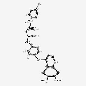 COc1cc2nccc(Oc3ccc(NC(=O)CC(=O)Nc4ccc(F)cc4)nn3)c2cc1OC